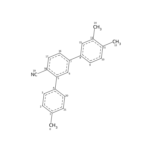 Cc1ccc(-c2cc(-c3ccc(C)c(C)c3)ccc2C#N)cc1